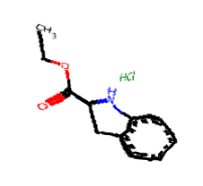 CCOC(=O)C1Cc2ccccc2N1.Cl